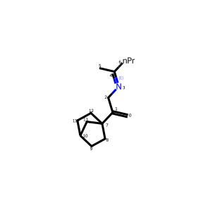 C=C(C/N=C(\C)CCC)C12CCC(CC1)C2